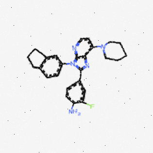 Nc1ccc(-c2nc3c(N4CCCCC4)ccnc3n2-c2ccc3c(c2)CCC3)cc1F